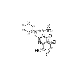 CN(Cc1nc2c(c(=O)n1CC1CC1)=C(Cl)CC(Cl)C=2O)C1CCCCC1